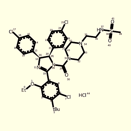 CCOc1cc(C(C)(C)C)c(Cl)cc1C1=N[C@@H](c2ccc(Cl)cc2)[C@@H](c2ccc(Cl)cc2)N1C(=O)N1CCN(CCNS(C)(=O)=O)CC1.Cl